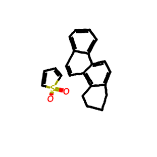 O=S1(=O)C=CC=C1.c1ccc2c(c1)ccc1c3c(ccc12)CCCC3